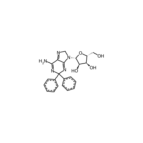 NC1=NC(c2ccccc2)(c2ccccc2)N=C2C1=NCN2[C@@H]1O[C@H](CO)[C@@H](O)[C@H]1O